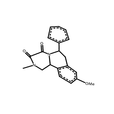 COc1ccc2c(c1)CC(c1ccccc1)N1C(=O)C(=O)N(C)CC21